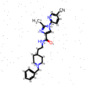 Cc1nc(C(=O)NCCC2CCN(Cc3ccccc3)CC2)cn1-c1ccc(C#N)cn1